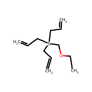 C=CC[Si](CC=C)(CC=C)COCC